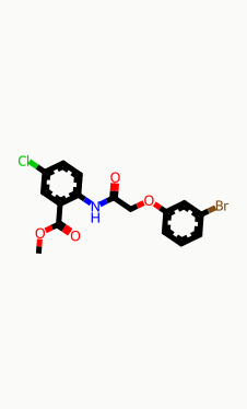 COC(=O)c1cc(Cl)ccc1NC(=O)COc1cccc(Br)c1